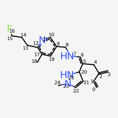 C=CC(=C)C/C(=C/NCc1cnc(CCCF)c(C)c1)C1C=CN(C)N1